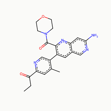 CCC(=O)c1cc(C)c(-c2cc3cnc(N)cc3nc2C(=O)N2CCOCC2)cn1